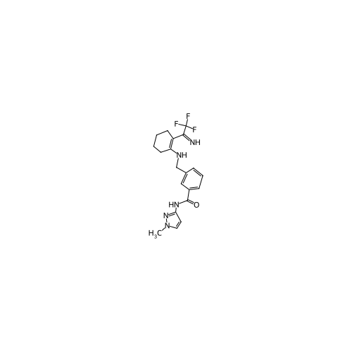 Cn1ccc(NC(=O)c2cccc(CNC3=C(C(=N)C(F)(F)F)CCCC3)c2)n1